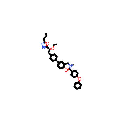 CCCc1nnc(C(Cc2ccc(-c3cccc(CN(C)C(=O)c4ccc(Oc5ccccc5)cc4)c3)cc2)OCC)o1